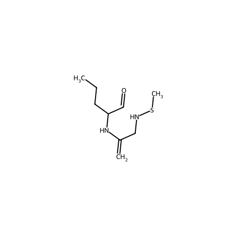 C=C(CNSC)NC(C=O)CCC